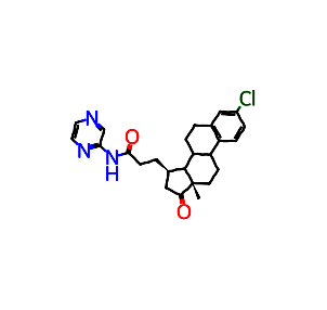 C[C@]12CCC3c4ccc(Cl)cc4CCC3C1[C@H](CCC(=O)Nc1cnccn1)CC2=O